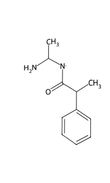 CC(N)[N]C(=O)C(C)c1ccccc1